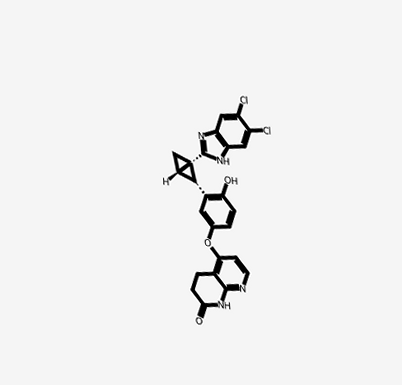 O=C1CCc2c(Oc3ccc(O)c([C@@H]4[C@@H]5C[C@@]45c4nc5cc(Cl)c(Cl)cc5[nH]4)c3)ccnc2N1